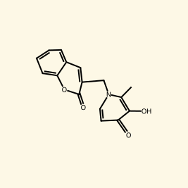 Cc1c(O)c(=O)ccn1Cc1cc2ccccc2oc1=O